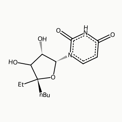 CCCC[C@]1(CC)O[C@@H](n2ccc(=O)[nH]c2=O)[C@@H](O)C1O